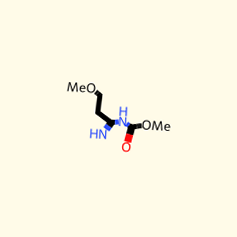 COCCC(=N)NC(=O)OC